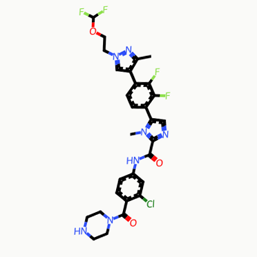 Cc1nn(CCOC(F)F)cc1-c1ccc(-c2cnc(C(=O)Nc3ccc(C(=O)N4CCNCC4)c(Cl)c3)n2C)c(F)c1F